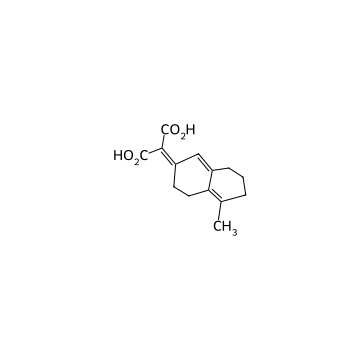 CC1=C2CCC(=C(C(=O)O)C(=O)O)C=C2CCC1